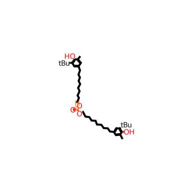 Cc1cc(CCCCCCCCCCO[PH](=O)OCCCCCCCCCCc2cc(C)c(O)c(C(C)(C)C)c2)cc(C(C)(C)C)c1O